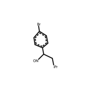 CC(C)CC(N=O)c1ccc(Br)cc1